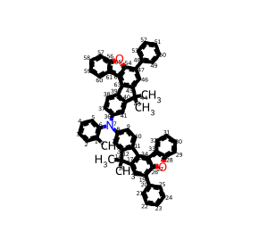 Cc1ccccc1N(c1ccc2c(c1)C(C)(C)c1cc(-c3ccccc3)c3oc4ccccc4c3c1-2)c1ccc2c(c1)C(C)(C)c1cc(-c3ccccc3)c3oc4ccccc4c3c1-2